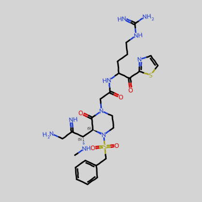 CN[C@H](C(=N)CN)[C@H]1C(=O)N(CC(=O)NC(CCCNC(=N)N)C(=O)c2nccs2)CCN1S(=O)(=O)Cc1ccccc1